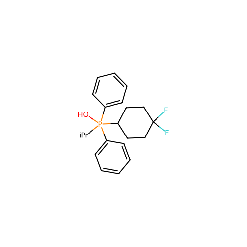 CC(C)P(O)(c1ccccc1)(c1ccccc1)C1CCC(F)(F)CC1